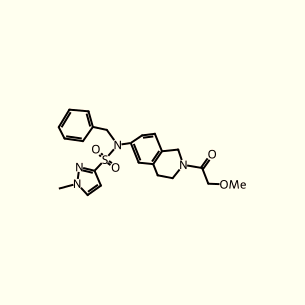 COCC(=O)N1CCc2cc(N(Cc3ccccc3)S(=O)(=O)c3ccn(C)n3)ccc2C1